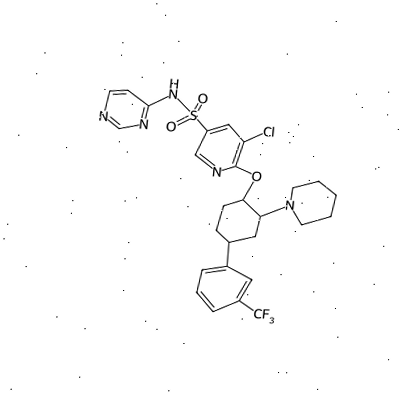 O=S(=O)(Nc1ccncn1)c1cnc(OC2CCC(c3cccc(C(F)(F)F)c3)CC2N2CCCCC2)c(Cl)c1